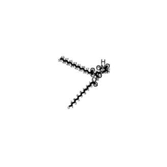 CCCCCCCCCCCCCCCC(=O)OC[C@H]1O[C@@H](n2cc(F)c(=O)[nH]c2=O)C[C@@H]1OC(=O)CCCCCCCCCCCCCCC